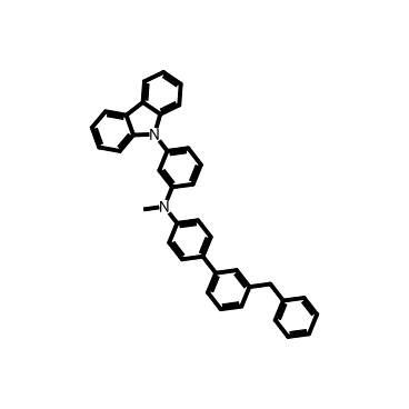 CN(c1ccc(-c2cccc(Cc3ccccc3)c2)cc1)c1cccc(-n2c3ccccc3c3ccccc32)c1